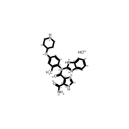 Cc1cc(OC2CCNCC2)ccc1N(C(=O)c1nc[nH]c1C(N)=O)c1nc2ccccc2[nH]1.Cl